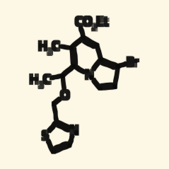 CCOC(=O)c1cc2c(Br)ccn2c(C(C)OCc2nccs2)c1C